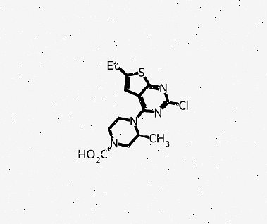 CCc1cc2c(N3CCN(C(=O)O)C[C@@H]3C)nc(Cl)nc2s1